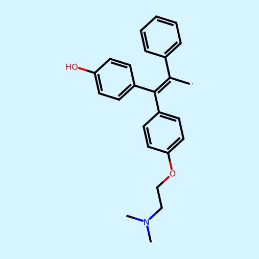 [CH2]/C(=C(/c1ccc(O)cc1)c1ccc(OCCN(C)C)cc1)c1ccccc1